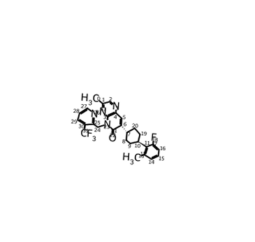 Cc1cnc2cc([C@H]3CC[C@H](c4c(C)cccc4F)CC3)c(=O)n(Cc3ncccc3C(F)(F)F)c2n1